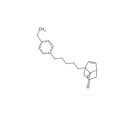 CCc1ccc(CCCCCC23C=CC(CC(=O)C2)C3=O)cc1